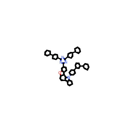 c1ccc(-c2ccc(-c3nc(-c4ccc(-c5ccccc5)cc4)nc(-c4ccc5c(c4)oc4ccc6c7ccccc7n(-c7ccc(-c8cccc(-c9ccccc9)c8)cc7)c6c45)n3)cc2)cc1